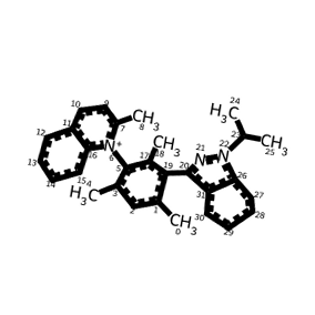 Cc1cc(C)c(-[n+]2c(C)ccc3ccccc32)c(C)c1-c1nn(C(C)C)c2ccccc12